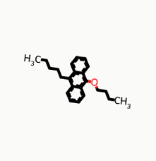 CCCCCc1c2ccccc2c(OCCCC)c2ccccc12